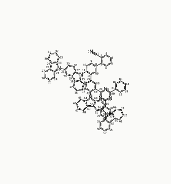 N#Cc1ccccc1-c1ccc(-n2c3ccccc3c3cc(-n4c5ccccc5c5ccccc54)ccc32)c(-c2ccc(-n3c4ccccc4c4cc(-n5c6ccccc6c6ccccc65)ccc43)c(-c3nc(-c4ccccc4)nc(-c4ccccc4)n3)c2)c1